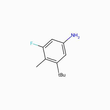 Cc1c(F)cc(N)cc1C(C)(C)C